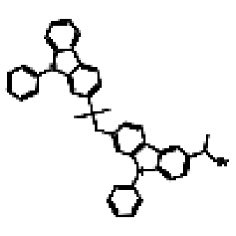 CC(C)C(C)c1ccc2c(c1)c1ccc(CC(C)(C)c3ccc4c5ccccc5n(-c5ccccc5)c4c3)cc1n2-c1ccccc1